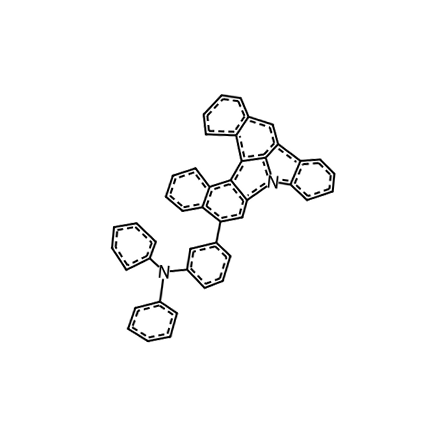 c1ccc(N(c2ccccc2)c2cccc(-c3cc4c(c5ccccc35)c3c5ccccc5cc5c6ccccc6n4c53)c2)cc1